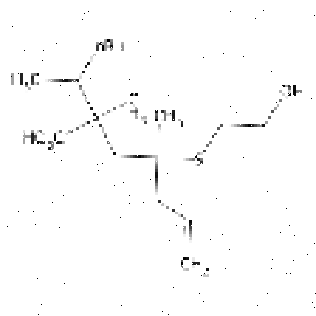 C=CCC(C)(CC(C)(C(=O)O)C(C)CCCC)SCCO